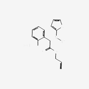 C=CCOC(=O)[C@H](c1ccccc1Cl)N(CC)c1cccs1.Cl